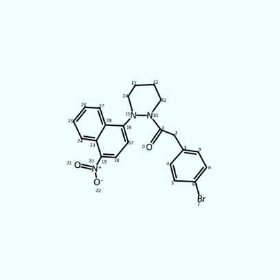 O=C(Cc1ccc(Br)cc1)N1CCCCN1c1ccc([N+](=O)[O-])c2ccccc12